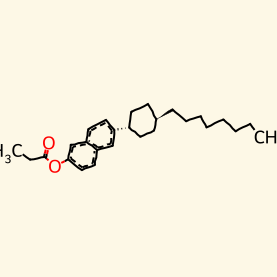 CCCCCCCC[C@H]1CC[C@H](c2ccc3cc(OC(=O)CC)ccc3c2)CC1